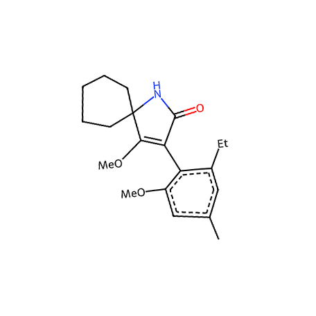 CCc1cc(C)cc(OC)c1C1=C(OC)C2(CCCCC2)NC1=O